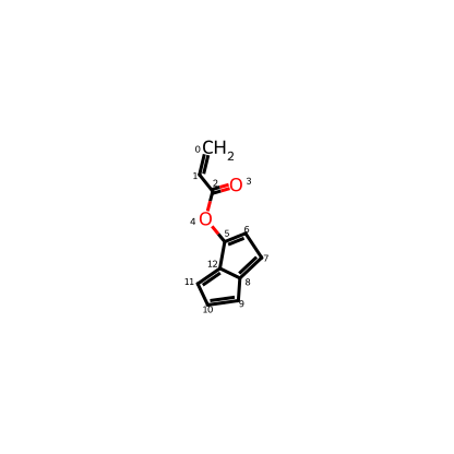 C=CC(=O)OC1=CC=C2C=CC=C21